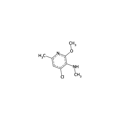 CNc1c(Cl)cc(C)nc1OC